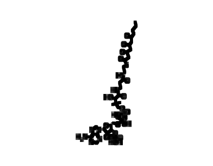 CCCCC(=O)CC(=O)CC(=O)CC(=O)SCCNC(=O)CCNC(=O)C(O)C(C)(C)COP(=O)(O)OP(=O)(O)OC[C@H]1O[C@@H](n2cnc3c(N)ncnc32)[C@H](O)[C@@H]1OP(=O)(O)O